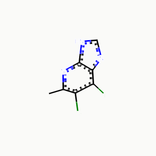 Cc1nc2[nH]cnc2c(F)c1Br